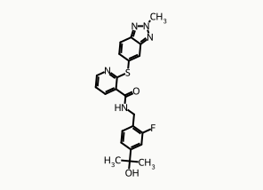 Cn1nc2ccc(Sc3ncccc3C(=O)NCc3ccc(C(C)(C)O)cc3F)cc2n1